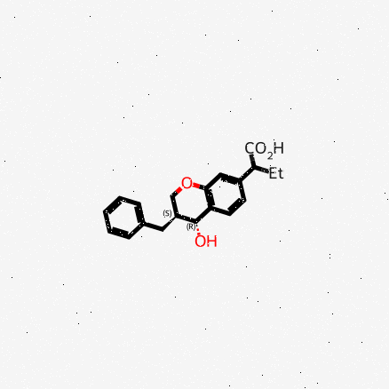 CCC(C(=O)O)c1ccc2c(c1)OC[C@H](Cc1ccccc1)[C@H]2O